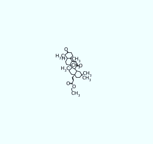 CCOC(=O)/C=C/[C@]12CCC(C)(C)CC1C1C(=O)C=C3[C@@]4(C)CCC(=O)[C@@H](C)[C@@H]4CC[C@@]3(C)[C@]1(C)CC2